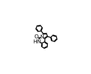 O=c1[nH]c2ccccc2c2c(-c3ccccc3)cc(-c3ccccc3)n12